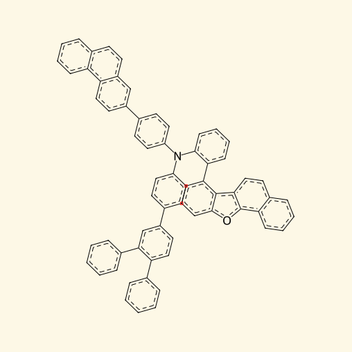 c1ccc(-c2ccc(-c3ccc(N(c4ccc(-c5ccc6c(ccc7ccccc76)c5)cc4)c4ccccc4-c4cccc5oc6c7ccccc7ccc6c45)cc3)cc2-c2ccccc2)cc1